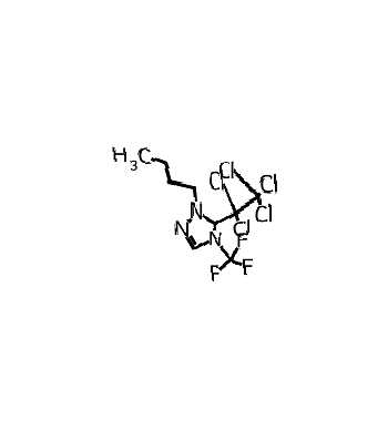 CCCCN1N=CN(C(F)(F)F)C1C(Cl)(Cl)C(Cl)(Cl)Cl